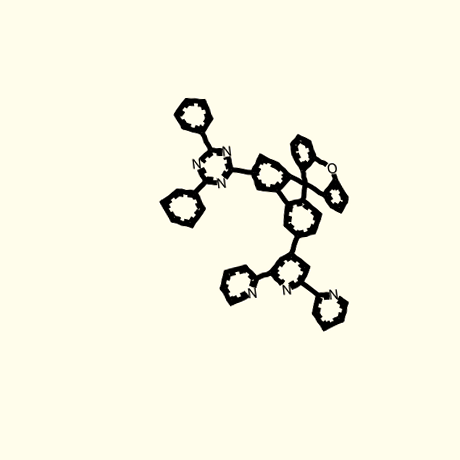 c1ccc(-c2nc(-c3ccccc3)nc(-c3ccc4c(c3)-c3cc(-c5cc(-c6ccccn6)nc(-c6ccccn6)c5)ccc3C43c4ccccc4Oc4ccccc43)n2)cc1